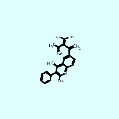 C=C(C(C(C)=N)=C(C)C)c1ccc2nc(C)c(-c3ccccc3)c(C)c2c1